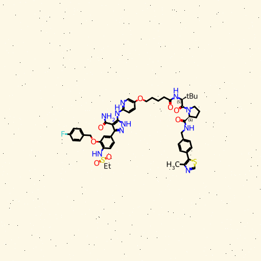 CCS(=O)(=O)Nc1ccc(-c2n[nH]c(Nc3ccc(OCCCCC(=O)N[C@H](C(=O)N4CCC[C@H]4C(=O)NCc4ccc(-c5scnc5C)cc4)C(C)(C)C)cn3)c2C(N)=O)cc1OCc1ccc(F)cc1